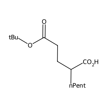 CCCCCC(CCC(=O)OC(C)(C)C)C(=O)O